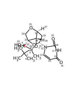 CC(C)(C)[Si](C)(C)O[C@H]1[C@@H]2C[C@H](n3ccc(=O)[nH]c3=O)O[C@@]1(CO)CO2